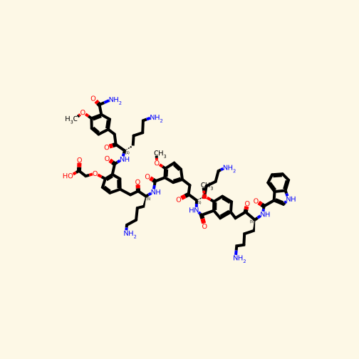 COc1ccc(CC(=O)[C@H](CCCCN)NC(=O)c2cc(CC(=O)[C@H](CCCCN)NC(=O)c3cc(CC(=O)[C@H](CCCCN)NC(=O)c4cc(CC(=O)[C@H](CCCCN)NC(=O)c5c[nH]c6ccccc56)ccc4OC)ccc3OC)ccc2OCC(=O)O)cc1C(N)=O